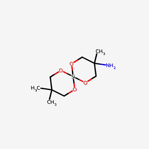 CC1(C)CO[Si]2(OC1)OCC(C)(N)CO2